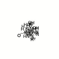 CC(=O)N(CCCc1ccccc1)CC(=O)N[C@@H](CC(C)C)C(=O)N[C@@H](Cc1c[nH]cn1)C(=O)N[C@@H](CO)C(=O)N[C@H](C(N)=O)[C@@H](C)OP(=O)(O)O